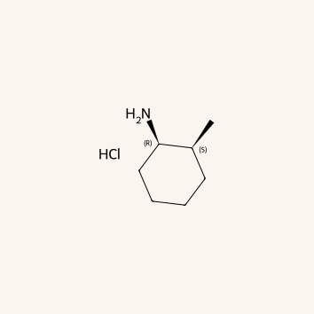 C[C@H]1CCCC[C@H]1N.Cl